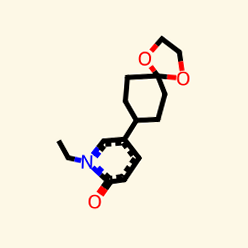 CCn1cc(C2CCC3(CC2)OCCO3)ccc1=O